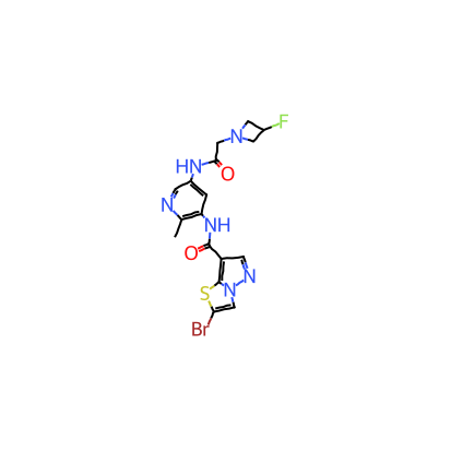 Cc1ncc(NC(=O)CN2CC(F)C2)cc1NC(=O)c1cnn2cc(Br)sc12